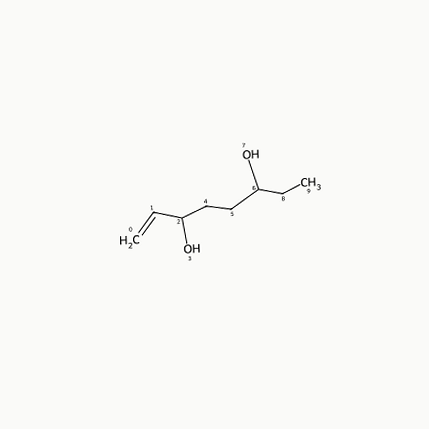 C=CC(O)CCC(O)CC